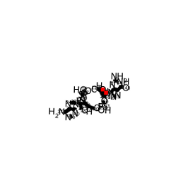 Nc1nc2c(nnn2[C@@H]2O[C@@H]3COP(O)(=S)O[C@@H]4[C@@H](COP(O)(=S)O[C@@H]2[C@H]3F)OC[C@@]4(F)n2cnc3c(N)ncnc32)c(=O)[nH]1